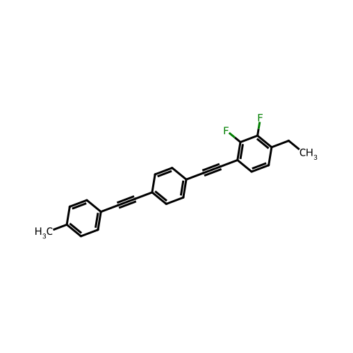 CCc1ccc(C#Cc2ccc(C#Cc3ccc(C)cc3)cc2)c(F)c1F